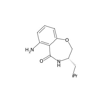 CC(C)C[C@H]1COc2cccc(N)c2C(=O)N1